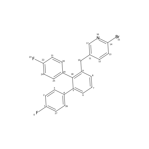 Fc1ccc(-c2cccc(Cc3ccc(Br)nc3)c2-c2ccc(F)cc2)cc1